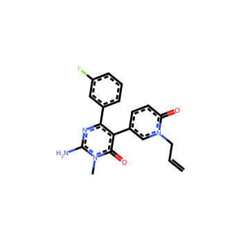 C=CCn1cc(-c2c(-c3cccc(F)c3)nc(N)n(C)c2=O)ccc1=O